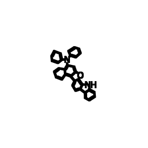 c1ccc(N(c2ccccc2)c2cc3oc4c(ccc5c6ccccc6[nH]c54)c3c3ccccc23)cc1